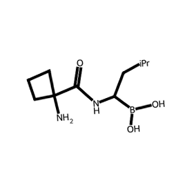 CC(C)CC(NC(=O)C1(N)CCC1)B(O)O